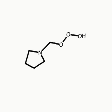 OOOCN1CCCC1